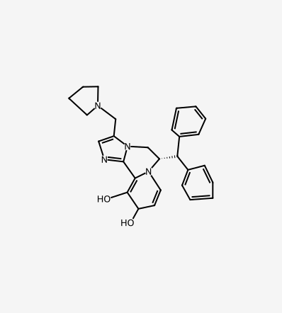 OC1=C2c3ncc(CN4CCCC4)n3C[C@H](C(c3ccccc3)c3ccccc3)N2C=CC1O